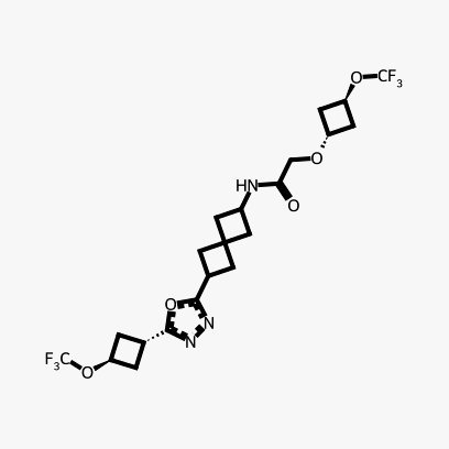 O=C(CO[C@H]1C[C@H](OC(F)(F)F)C1)NC1CC2(C1)CC(c1nnc([C@H]3C[C@H](OC(F)(F)F)C3)o1)C2